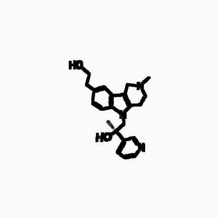 CN1CCc2c(c3cc(CCO)ccc3n2C[C@](C)(O)c2cccnc2)C1